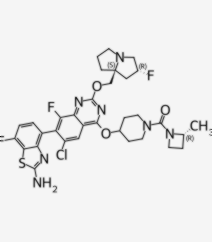 C[C@@H]1CCN1C(=O)N1CCC(Oc2nc(OC[C@@]34CCCN3C[C@H](F)C4)nc3c(F)c(-c4ccc(F)c5sc(N)nc45)c(Cl)cc23)CC1